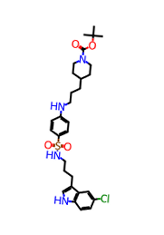 CC(C)(C)OC(=O)N1CCC(CCCNc2ccc(S(=O)(=O)NCCCc3c[nH]c4ccc(Cl)cc34)cc2)CC1